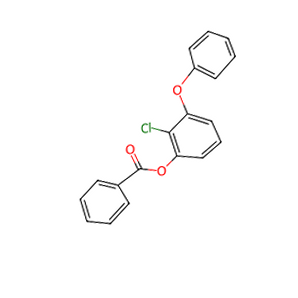 O=C(Oc1cccc(Oc2ccccc2)c1Cl)c1ccccc1